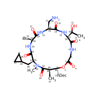 CCCCCCCCCC[C@H]1OC(=O)CNC(=O)[C@H](C(C)O)NC(=O)[C@H](CN)NC(=O)[C@H](C(C)CC)NC(=O)[C@H](CC2CC2)N(C)C(=O)[C@@H]1C